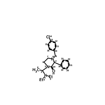 CCN(CC)C(C)N1CCN(Cc2ccc(Cl)cc2)C(c2ccccc2)C1=O